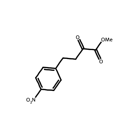 COC(=O)C(=O)CCc1ccc([N+](=O)[O-])cc1